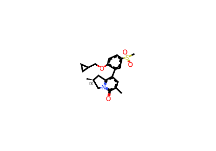 Cc1cc(-c2cc(S(C)(=O)=O)ccc2OCC2CC2)c2n(c1=O)C[C@@H](C)C2